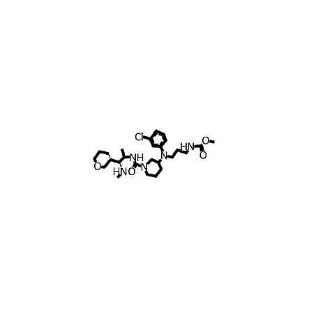 CN[C@@H](C(C)NC(=O)N1CCCC(N(CCCNC(=O)OC)c2cccc(Cl)c2)C1)[C@H]1CCCOC1